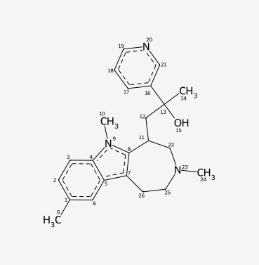 Cc1ccc2c(c1)c1c(n2C)C(CC(C)(O)c2cccnc2)CN(C)CC1